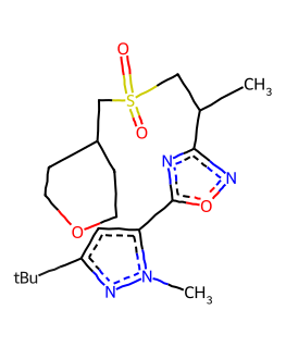 CC(CS(=O)(=O)CC1CCOCC1)c1noc(-c2cc(C(C)(C)C)nn2C)n1